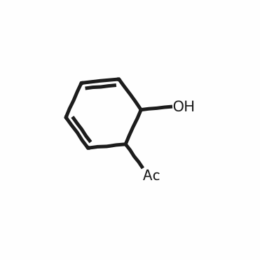 CC(=O)C1C=CC=CC1O